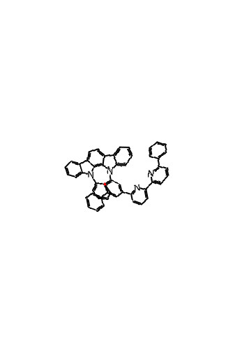 c1ccc(-c2cc(-c3cccc(-c4cccc(-c5ccccc5)n4)n3)cc(-n3c4ccccc4c4ccc5c6ccccc6n(-c6ccccc6)c5c43)c2)cc1